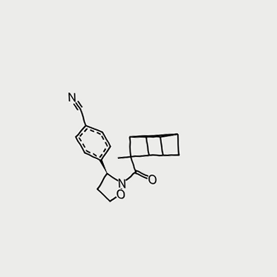 CC1(C(=O)N2OCC[C@H]2c2ccc(C#N)cc2)C2C3CC4C3C2C41